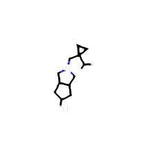 CC1CC2CN(CC3(C(C)C)CC3)CC2C1